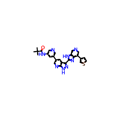 CC(C)(C)C(=O)Nc1cncc(-c2cnc3[nH]nc(-c4nc5c(-c6ccsc6)cncc5[nH]4)c3c2)c1